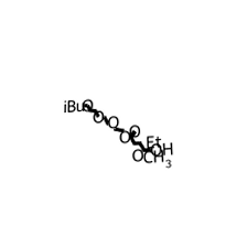 CCC(C)OCCOCCOCCOC(=O)CCC(=O)C(C)(O)CC